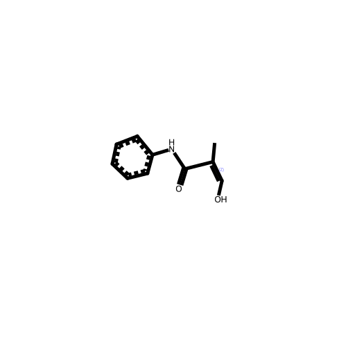 C/C(=C/O)C(=O)Nc1ccccc1